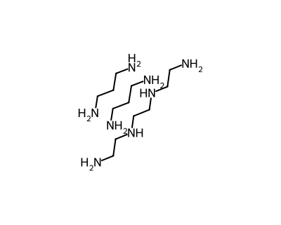 NCCCN.NCCCN.NCCNCCNCCN